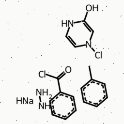 Cc1ccccc1.NN.O=C(Cl)c1ccccc1.OC1=CN(Cl)C=CN1.[NaH]